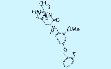 COc1cc(OCc2ccccc2F)ccc1CNC(Cc1c[nH]c(C)n1)C(N)=O